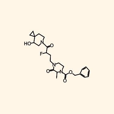 CC1C(=O)N(CCC(F)C(=O)N2CCC3(CC3)C(O)C2)CCN1C(=O)OCc1ccccc1